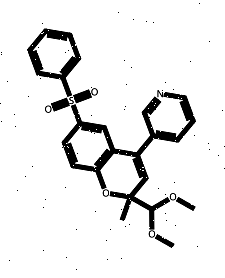 COC(OC)C1(C)C=C(c2cccnc2)c2cc(S(=O)(=O)c3ccccc3)ccc2O1